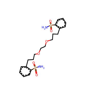 NS(=O)(=O)c1ccccc1CCCOCCOCCCc1ccccc1S(N)(=O)=O